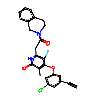 C#Cc1cc(Cl)cc(Oc2c(F)c(CC(=O)N3CCc4ccccc4C3)[nH]c(=O)c2C)c1